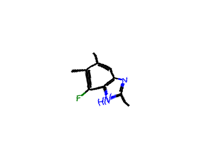 Cc1nc2cc(C)c(C)c(F)c2[nH]1